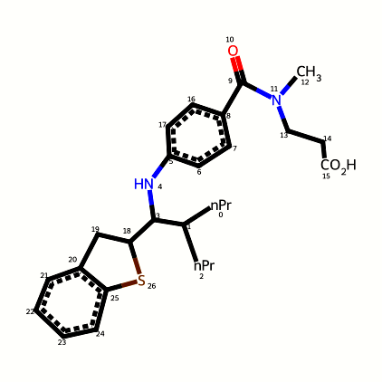 CCCC(CCC)C(Nc1ccc(C(=O)N(C)CCC(=O)O)cc1)C1Cc2ccccc2S1